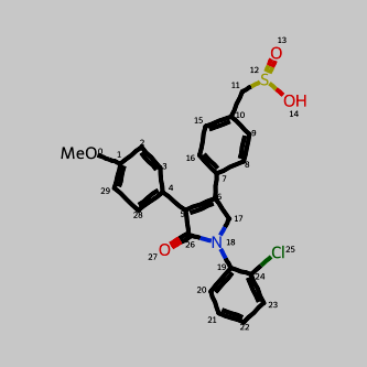 COc1ccc(C2=C(c3ccc(CS(=O)O)cc3)CN(c3ccccc3Cl)C2=O)cc1